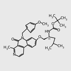 COc1ccc(Cn2c(=O)c3c(C)nccc3c3ccc(OC[C@H](CC(C)C)NC(=O)OC(C)(C)C)cc32)cc1